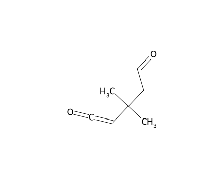 CC(C)(C=C=O)CC=O